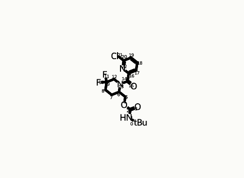 CC(C)(C)NC(=O)OCC1CCC(F)(F)CN1C(=O)c1cccc(Cl)n1